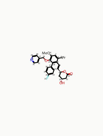 COc1cc(C(C)C)c(/C=C/[C@@H]2C[C@@H](O)CC(=O)O2)c(-c2ccc(F)cc2)c1OCc1ccncc1